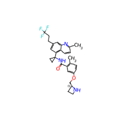 Cc1ccc2c(C3(NC(=O)c4cc(OC[C@@H]5CCN5)ccc4C)CC3)cc(CCC(F)(F)F)cc2n1